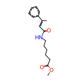 COC(=O)CCCCCNC(=O)/C=C(\C)c1ccccc1